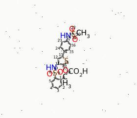 Cc1ccccc1S(=O)(=O)Nc1cc(-c2ccc(NS(C)(=O)=O)cc2)sc1OC(=O)O